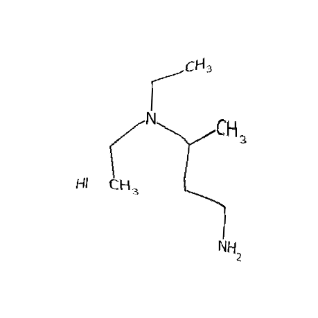 CCN(CC)C(C)CCN.I